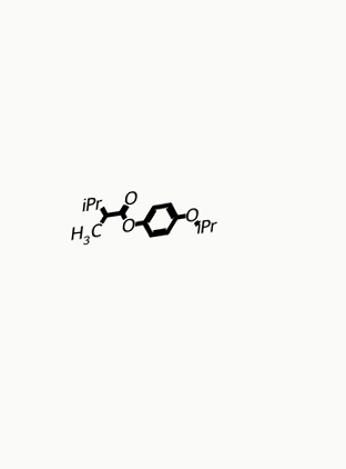 CC(C)Oc1ccc(OC(=O)C(C)C(C)C)cc1